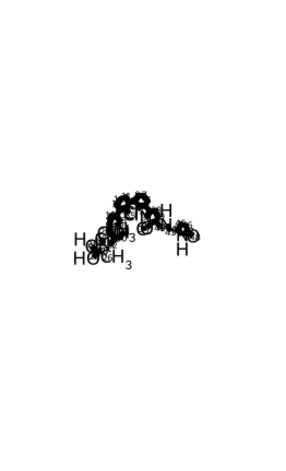 COc1nc(-c2cccc(-c3cccc(-c4ccn5c(=O)c(CN(C)[C@H](C)C(=O)O)cnc5c4)c3Cl)c2Cl)ccc1CNC[C@@H]1CCC(=O)N1